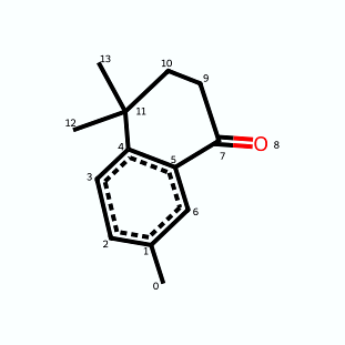 Cc1ccc2c(c1)C(=O)CCC2(C)C